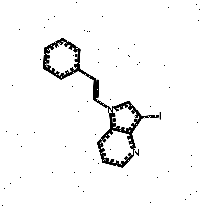 Ic1cn(C=Cc2ccccc2)c2cccnc12